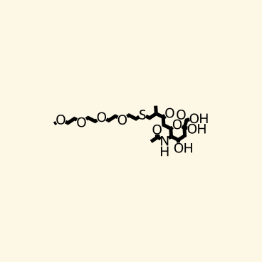 COCCOCCOCCOCCSCC(C)C(=O)CC1OC(O)(C(=O)O)CC(O)C1NC(C)=O